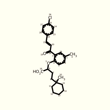 Cc1ccc(OC(CCC2(C)CCCCC2)C(=O)O)c(C(=O)/C=C/c2ccc(Cl)cc2)c1